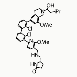 COc1cc(-c2cccc(-c3cccc(-c4ccc(CNC[C@@H]5CCC(=O)N5)c(OC)n4)c3Cl)c2Cl)cc2c1CN(C(O)CC(C)C)CC2